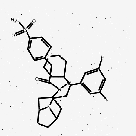 CCN(C(=O)Cc1ccc(S(C)(=O)=O)cc1)C1CC2CCC(C1)N2CCC(c1cc(F)cc(F)c1)C1CCOCC1